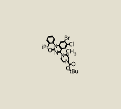 CC(C)c1ccccc1-n1c(=O)nc(N2CCN(C(=O)OC(C)(C)C)C[C@@H]2C)c2cc(Cl)c(Br)cc21